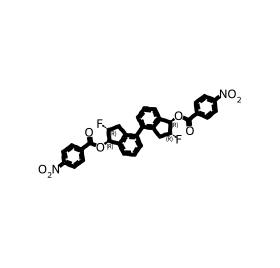 O=C(O[C@@H]1c2cccc(-c3cccc4c3C[C@@H](F)[C@@H]4OC(=O)c3ccc([N+](=O)[O-])cc3)c2C[C@H]1F)c1ccc([N+](=O)[O-])cc1